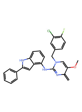 C=C1N=C(Nc2cccc3[nH]c(-c4ccccc4)cc23)N(Cc2ccc(F)c(Cl)c2)C=C1OC